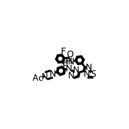 CC(=O)N1CCN(c2ccc(Nc3nccc(-c4c(-c5cccc(NC(=O)c6c(F)cccc6F)c5)nc5sccn45)n3)cc2)CC1